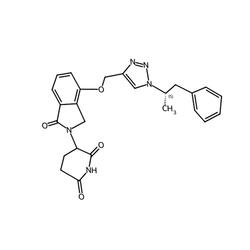 C[C@@H](Cc1ccccc1)n1cc(COc2cccc3c2CN(C2CCC(=O)NC2=O)C3=O)nn1